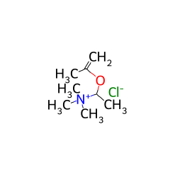 C=C(C)OC(C)[N+](C)(C)C.[Cl-]